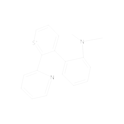 CN(C)c1ccccc1-c1ccc[s+]c1-c1ccccn1